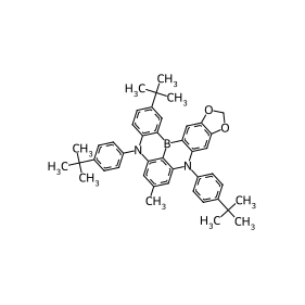 Cc1cc2c3c(c1)N(c1ccc(C(C)(C)C)cc1)c1cc4c(cc1B3c1cc(C(C)(C)C)ccc1N2c1ccc(C(C)(C)C)cc1)OCO4